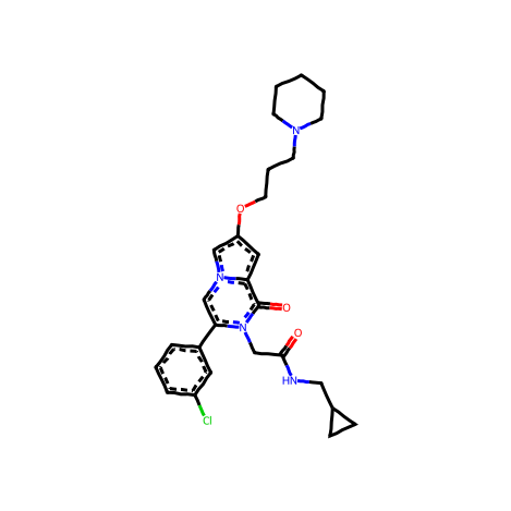 O=C(Cn1c(-c2cccc(Cl)c2)cn2cc(OCCCN3CCCCC3)cc2c1=O)NCC1CC1